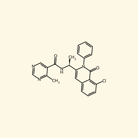 Cc1ncncc1C(=O)N[C@@H](C)c1cc2cccc(Cl)c2c(=O)n1-c1ccccc1